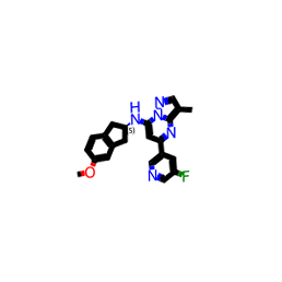 COc1ccc2c(c1)C[C@@H](Nc1cc(-c3cncc(F)c3)nc3c(C)cnn13)C2